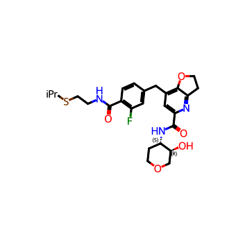 CC(C)SCCNC(=O)c1ccc(Cc2cc(C(=O)N[C@H]3CCOC[C@@H]3O)nc3c2OCC3)cc1F